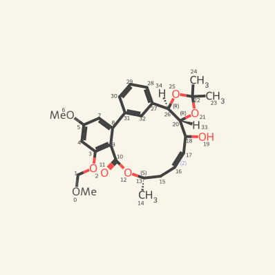 COCOc1cc(OC)cc2c1C(=O)O[C@@H](C)C/C=C\C(O)[C@H]1OC(C)(C)O[C@@H]1c1cccc-2c1